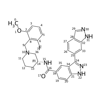 COc1cccc(F)c1CN1CCC[C@@H](NC(=O)c2ccc3[nH]nc(-c4ccc5cn[nH]c5c4)c3c2)C1